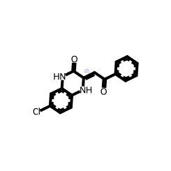 O=C1Nc2cc(Cl)ccc2N/C1=C\C(=O)c1ccccc1